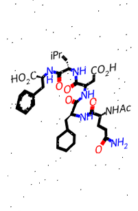 CC(=O)N[C@@H](CCC(N)=O)C(=O)N[C@@H](CC1CCCCC1)C(=O)NC(CC(=O)O)C(=O)N[C@@H](CC(C)C)C(=O)N[C@@H](Cc1ccccc1)C(=O)O